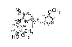 COc1cncc(CCNc2ncc(C#N)c(N[C@@H]3CC[C@H](O)C(C)(C)C3)n2)c1